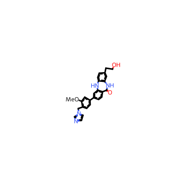 COc1cc(-c2ccc3c(c2)Nc2ccc(CCO)cc2NC3=O)ccc1Cn1ccnc1